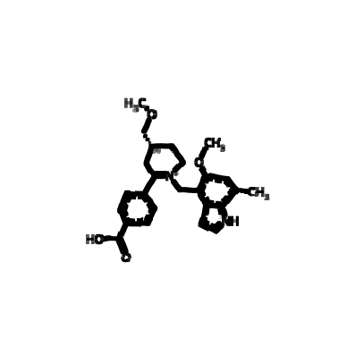 COC[C@@H]1CC[N+](Cc2c(OC)cc(C)c3[nH]ccc23)=C(c2ccc(C(=O)O)cc2)C1